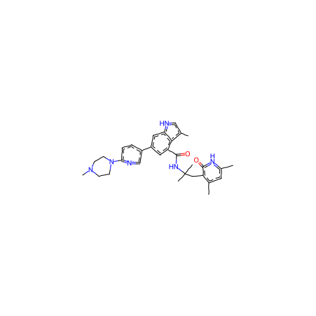 Cc1cc(C)c(CC(C)(C)NC(=O)c2cc(-c3ccc(N4CCN(C)CC4)nc3)cc3[nH]cc(C)c23)c(=O)[nH]1